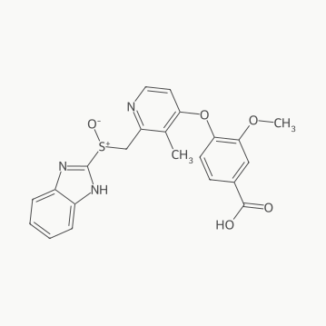 COc1cc(C(=O)O)ccc1Oc1ccnc(C[S+]([O-])c2nc3ccccc3[nH]2)c1C